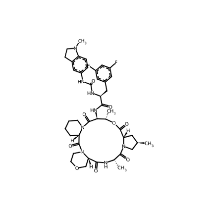 C[C@@H]1C[C@H]2C(=O)O[C@@H](C)[C@H](NC(=O)[C@H](Cc3cc(F)cc(F)c3)NC(=O)Nc3ccc4c(c3)CCN4C)C(=O)N3CCCC[C@H]3C(=O)N3CCOC[C@H]3C(=O)N[C@@H](C)C(=O)N2C1